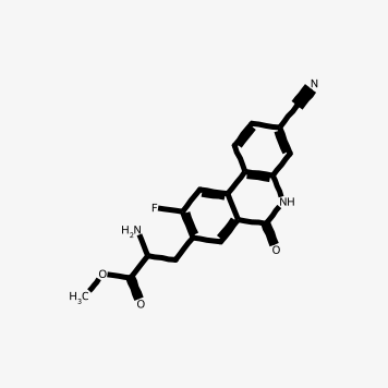 COC(=O)C(N)Cc1cc2c(=O)[nH]c3cc(C#N)ccc3c2cc1F